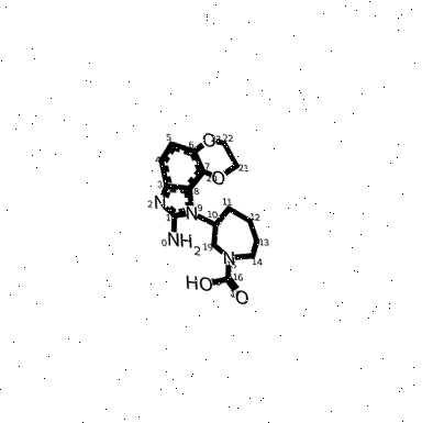 Nc1nc2ccc3c(c2n1C1CCCCN(C(=O)O)C1)OCCO3